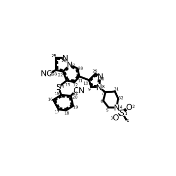 CS(=O)(=O)N1CCC(n2cc(-c3cc(Sc4ccccc4C#N)c4c(C#N)cnn4c3)cn2)CC1